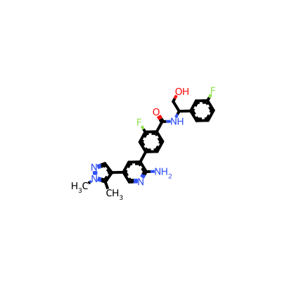 Cc1c(-c2cnc(N)c(-c3ccc(C(=O)NC(CO)c4cccc(F)c4)c(F)c3)c2)cnn1C